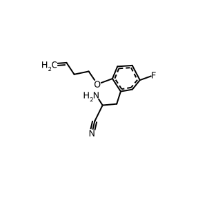 C=CCCOc1ccc(F)cc1CC(N)C#N